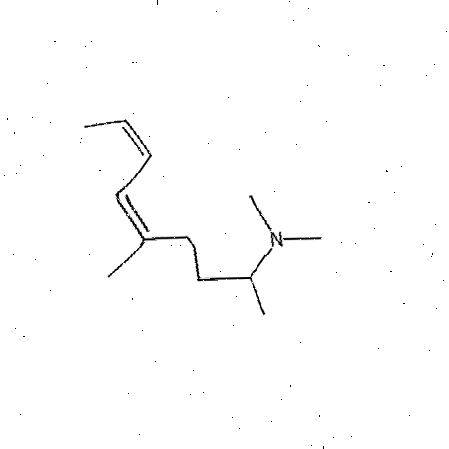 C/C=C\C=C(\C)CCC(C)N(C)C